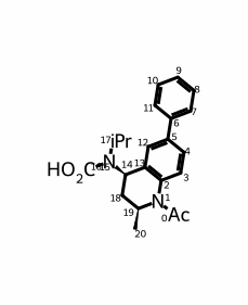 CC(=O)N1c2ccc(-c3ccccc3)cc2[C@H](N(C(=O)O)C(C)C)C[C@@H]1C